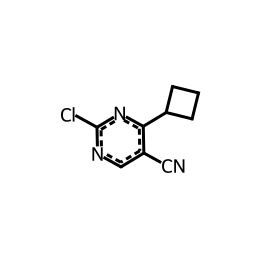 N#Cc1cnc(Cl)nc1C1CCC1